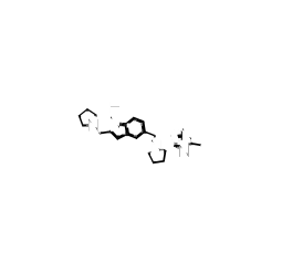 Cc1noc([C@@H]2CCCN2Cc2ccc3[nH]c(CN4CCCC4)cc3c2)n1